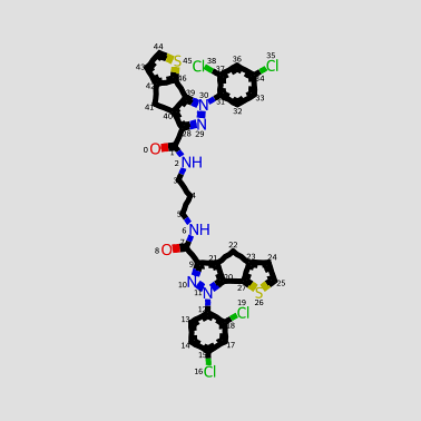 O=C(NCCCNC(=O)c1nn(-c2ccc(Cl)cc2Cl)c2c1Cc1ccsc1-2)c1nn(-c2ccc(Cl)cc2Cl)c2c1Cc1ccsc1-2